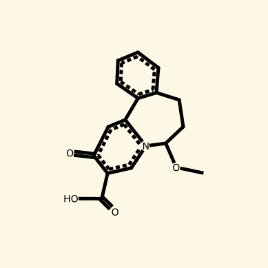 COC1CCc2ccccc2-c2cc(=O)c(C(=O)O)cn21